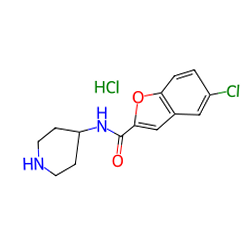 Cl.O=C(NC1CCNCC1)c1cc2cc(Cl)ccc2o1